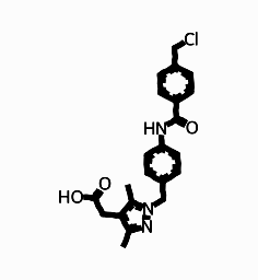 Cc1nn(Cc2ccc(NC(=O)c3ccc(CCl)cc3)cc2)c(C)c1CC(=O)O